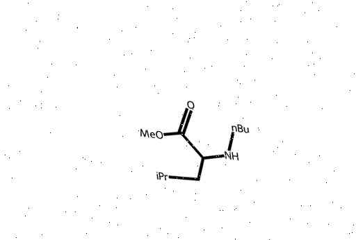 CCCCNC(CC(C)C)C(=O)OC